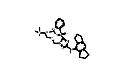 C[Si](C)(C)CCOCn1nc(Nc2c3c(cc4c2CCC4)CCC3)nc1S(=O)(=NC(=O)O)c1ccccc1